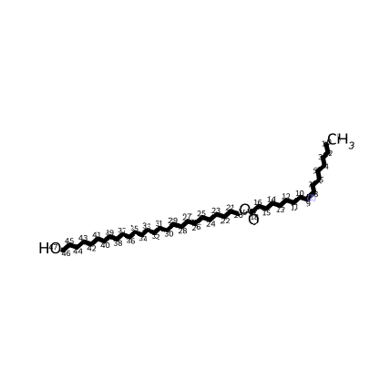 CCCCCCCC/C=C\CCCCCCCC(=O)OCCCCCCCCCCCCCCCCCCCCCCCCCCCO